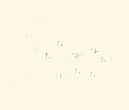 CC[C@@H](Nc1ncnc2[nH]cnc12)c1nc2ccc(F)c(Cl)c2c(=O)n1-c1cccc(C)c1C